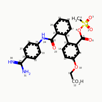 CS(=O)(=O)OC(=O)c1cc(OCC(=O)O)ccc1-c1ccccc1C(=O)Nc1ccc(C(=N)N)cc1